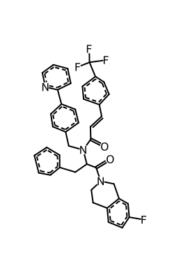 O=C(C(Cc1ccccc1)N(Cc1ccc(-c2ccccn2)cc1)C(=O)C=Cc1ccc(C(F)(F)F)cc1)N1CCc2ccc(F)cc2C1